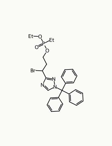 CCOP(=O)(CC)OCCC(Br)c1ncn(C(c2ccccc2)(c2ccccc2)c2ccccc2)n1